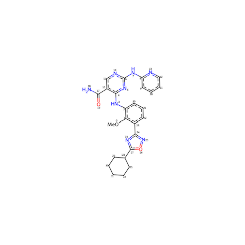 COc1c(Nc2nc(Nc3ccccn3)ncc2C(N)=O)cccc1-c1noc(C2CCCCC2)n1